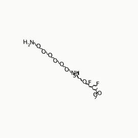 C=C/C(=C\C=C\O/C=C(F)/C=C(\C=C\F)/C=C(\C)C(=O)OCC)SNCCOCCOCCOCCOCCOCCOCCN